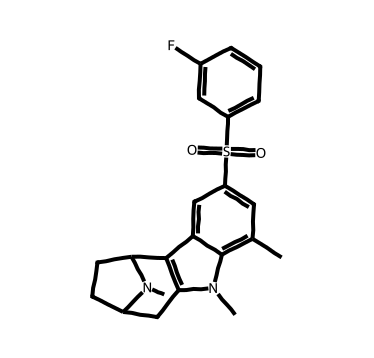 Cc1cc(S(=O)(=O)c2cccc(F)c2)cc2c3c(n(C)c12)CC1CCC3N1C